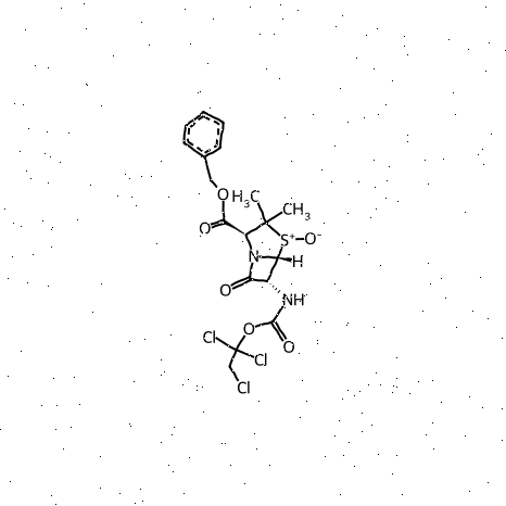 CC1(C)[C@H](C(=O)OCc2ccccc2)N2C(=O)[C@@H](NC(=O)OC(Cl)(Cl)CCl)[C@H]2[S+]1[O-]